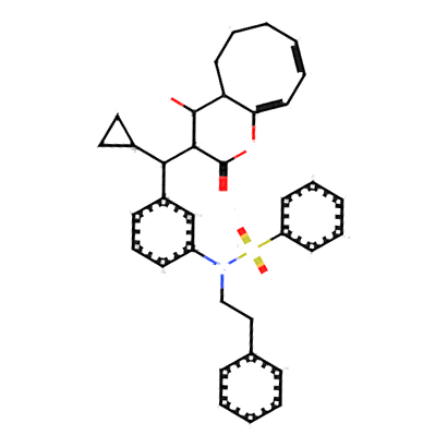 O=C1OC2=CC=CCCCC2C(O)C1C(c1cccc(N(CCc2ccccc2)S(=O)(=O)c2ccccc2)c1)C1CC1